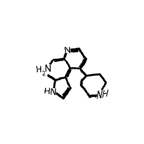 CC1NC=C/C1=c1\c(C2CCNCC2)ccn\c1=C\N